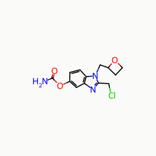 NC(=O)Oc1ccc2c(c1)nc(CCl)n2CC1CCO1